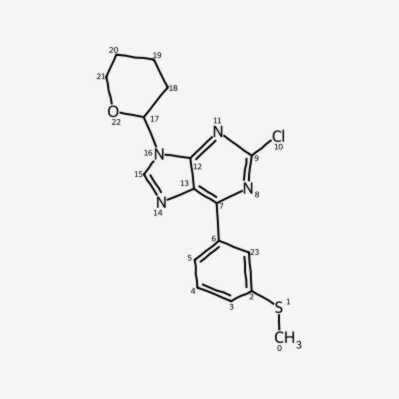 CSc1cccc(-c2nc(Cl)nc3c2ncn3C2CCCCO2)c1